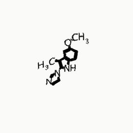 COc1ccc2[nH]c(-n3ccnc3)c(C)c2c1